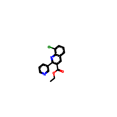 CCOC(=O)c1cc2cccc(Cl)c2nc1-c1cccnc1